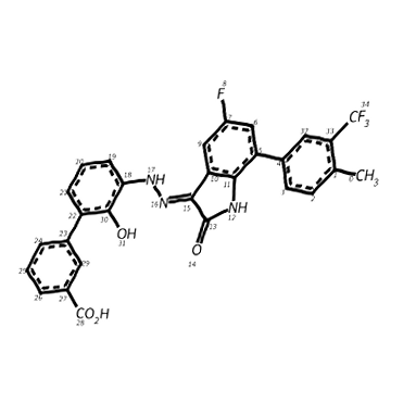 Cc1ccc(-c2cc(F)cc3c2NC(=O)C3=NNc2cccc(-c3cccc(C(=O)O)c3)c2O)cc1C(F)(F)F